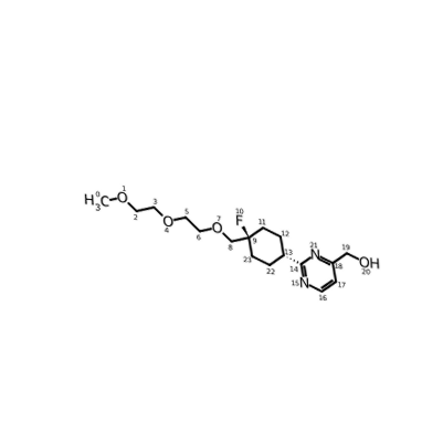 COCCOCCOC[C@]1(F)CC[C@H](c2nccc(CO)n2)CC1